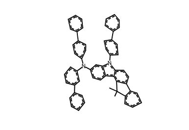 CC1(C)c2ccccc2-c2ccc3c(c21)c1ccc(N(c2ccc(-c4ccccc4)cc2)c2cccc(-c4ccccc4)c2)cc1n3-c1ccc(-c2ccccc2)cc1